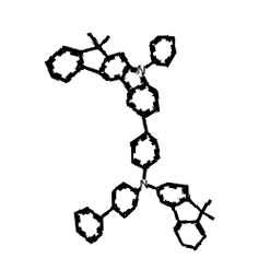 CC1(C)C2=CCCC=C2c2cc(N(c3ccc(-c4ccccc4)cc3)c3ccc(-c4ccc5c(c4)c4cc6c(cc4n5-c4ccccc4)C(C)(C)c4ccccc4-6)cc3)ccc21